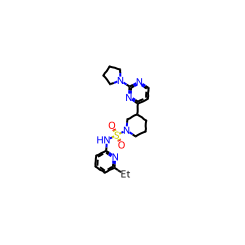 CCc1cccc(NS(=O)(=O)N2CCCC(c3ccnc(N4CCCC4)n3)C2)n1